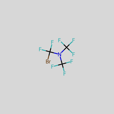 FC(F)(F)N(C(F)(F)F)C(F)(F)Br